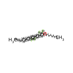 CCCCCCCCCOc1ccc(-c2ccc(-c3ccc(C4=CCC(C5CCC(CCCCC)CC5)CC4)c(F)c3F)cc2)c(F)c1F